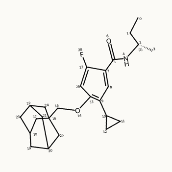 CC[C@H](C)NC(=O)c1cc(C2CC2)c(OCC23CC4CC(CC(C4)C2)C3)cc1F